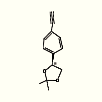 C#Cc1ccc([C@H]2COC(C)(C)O2)cc1